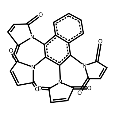 O=C1C=CC(=O)N1c1c(N2C(=O)C=CC2=O)c(N2C(=O)C=CC2=O)c2ccccc2c1N1C(=O)C=CC1=O